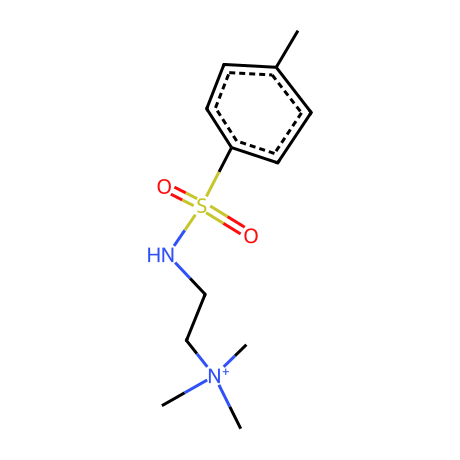 Cc1ccc(S(=O)(=O)NCC[N+](C)(C)C)cc1